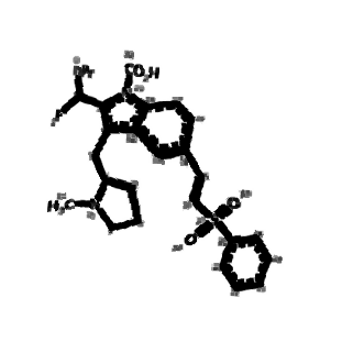 CCCC(F)c1c(CC2CCCN2C)c2cc(C=CS(=O)(=O)c3ccccc3)ccc2n1C(=O)O